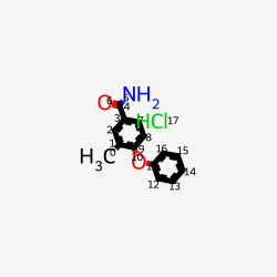 Cc1cc(C(N)=O)ccc1Oc1ccccc1.Cl